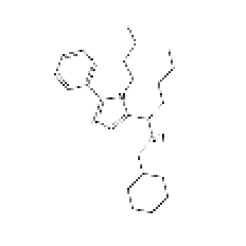 CCCCC(NCC1CCCCC1)c1cnc(-c2ccccc2)n1CCCC